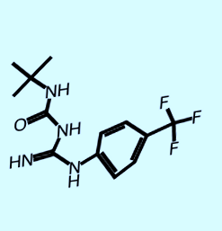 CC(C)(C)NC(=O)NC(=N)Nc1ccc(C(F)(F)F)cc1